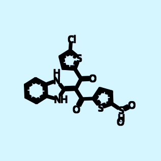 O=C(C(C(=O)c1ccc([SH](=O)=O)s1)=C1Nc2ccccc2N1)c1ccc(Cl)s1